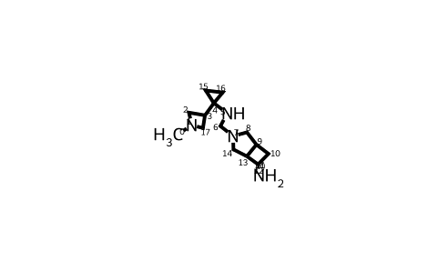 CN1CC(C2(NCN3CC4C[C@@H](N)C4C3)CC2)C1